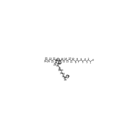 CCCCCCCCCCCCCCCCCC(=O)OC(CCCCCC)C(C)CCCCCCCCC(C)=O